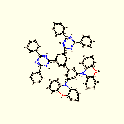 c1ccc(-c2nc(-c3ccccc3)nc(-c3cc(-c4cc(N5c6ccccc6Oc6ccccc65)cc(N5c6ccccc6Oc6ccccc65)c4)cc(-c4nc(-c5ccccc5)nc(-c5ccccc5)n4)c3)n2)cc1